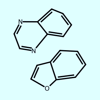 c1ccc2nccnc2c1.c1ccc2occc2c1